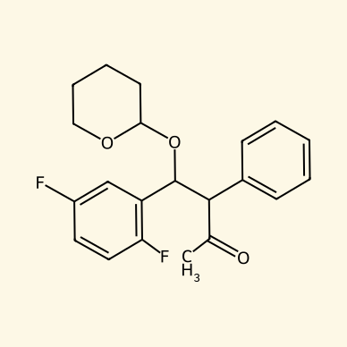 CC(=O)C(c1ccccc1)C(OC1CCCCO1)c1cc(F)ccc1F